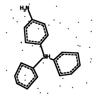 Nc1ccc([SiH](c2ccccc2)c2ccccc2)cc1